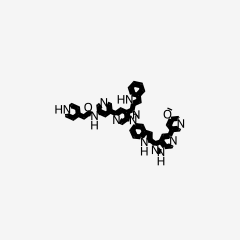 COc1cncc(-c2cc3c(-c4cc5cc(-n6nc(-c7cc8ccccc8[nH]7)c7cc(-c8cncc(NC(=O)CC9CCNCC9)c8)ncc76)ccc5[nH]4)n[nH]c3cn2)c1